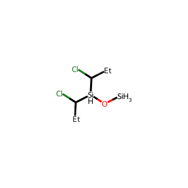 CCC(Cl)[SiH](O[SiH3])C(Cl)CC